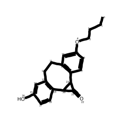 CCCCOc1ccc2c(c1)CCc1cc(O)ccc1C1C(=O)C21